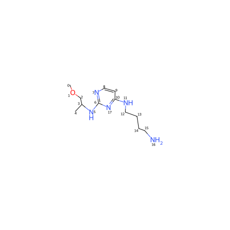 COCC(C)Nc1nccc(NCCCCN)n1